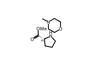 CN1CCOCC1.COC(=O)[C@H]1CCCN1